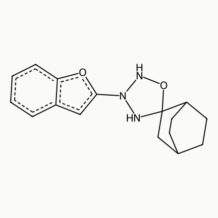 c1ccc2oc(N3NOC4(CC5CCC4CC5)N3)cc2c1